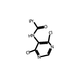 CC(C)C(=O)Nc1c(Cl)ncnc1Cl